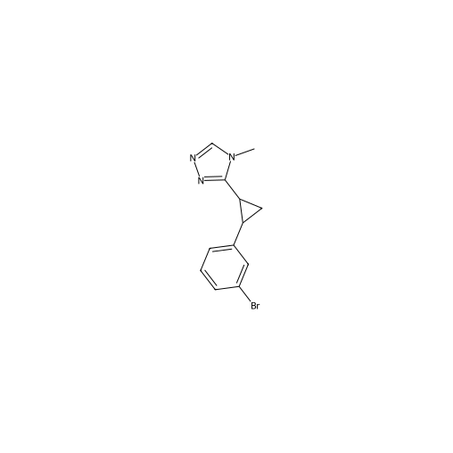 Cn1cnnc1C1CC1c1cccc(Br)c1